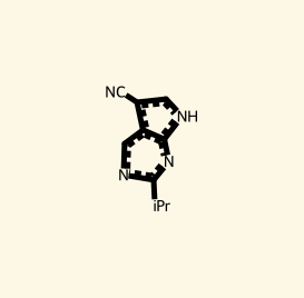 CC(C)c1ncc2c(C#N)c[nH]c2n1